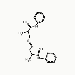 CC(CN=NCC(C)C(=N)Nc1ccccc1)C(=N)Nc1ccccc1